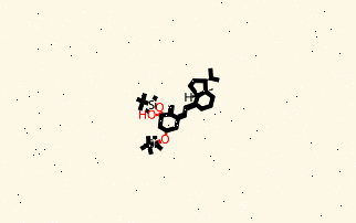 C=C1/C(=C\C=C2/CCC[C@]3(C)[C@@H](C(C)C)CC[C@@H]23)C[C@@H](O[Si](C)(C)C(C)(C)C)C[C@]1(O)O[Si](C)(C)C(C)(C)C